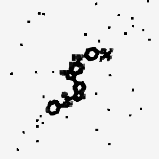 O=C(NC1CCOCC1)c1cnn2ccc(-c3c[nH]c4nc(N[C@H]5CC[C@@H](OC(F)(F)F)CC5)ncc34)cc12